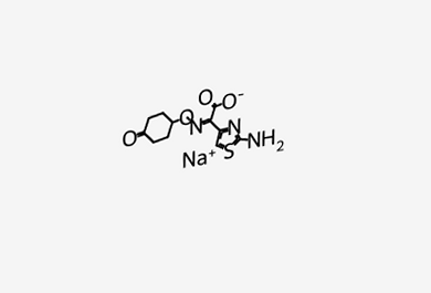 Nc1nc(/C(=N/OC2CCC(=O)CC2)C(=O)[O-])cs1.[Na+]